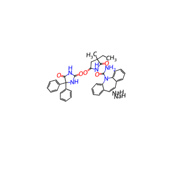 CCC1(C)CC(=O)NC1=O.NC(=O)N1c2ccccc2C=Cc2ccccc21.O=C1NC(=O)C(c2ccccc2)(c2ccccc2)N1.[NaH].[NaH]